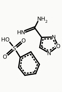 N=C(N)c1cnon1.O=S(=O)(O)c1ccccc1